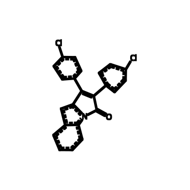 O=C1C(c2ccc(Cl)cc2)=C(c2ccc(Cl)cc2)c2cc3ccccc3n21